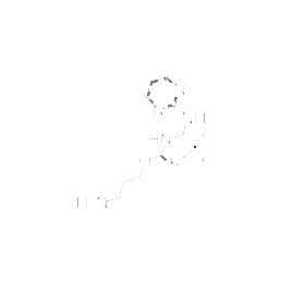 NCCCOC(=O)NC(Nc1ncccn1)C(Cl)(Cl)Cl